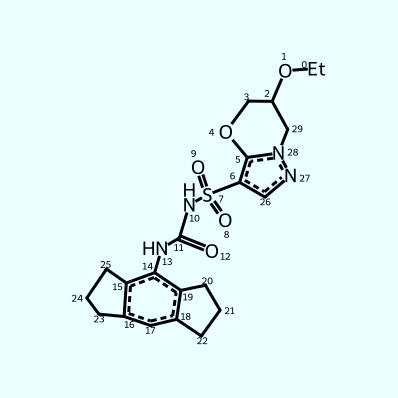 CCOC1COc2c(S(=O)(=O)NC(=O)Nc3c4c(cc5c3CCC5)CCC4)cnn2C1